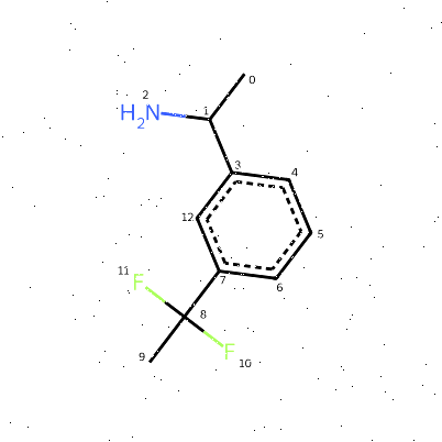 CC(N)c1cccc(C(C)(F)F)c1